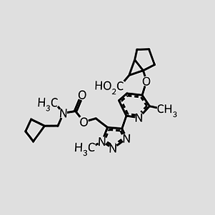 Cc1nc(-c2nnn(C)c2COC(=O)N(C)CC2CCC2)ccc1OC12CCCC1C2C(=O)O